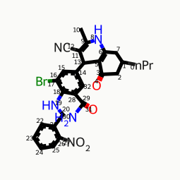 CCCC1CC(=O)C2=C(C1)NC(C)=C(C#N)C2c1cc(Br)c(NCc2ccccc2[N+](=O)[O-])c(C(N)=O)c1